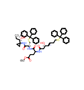 CC(C)(C)OC(=O)CCC(NC(=O)C[C@H](O)/C=C/CCSC(c1ccccc1)(c1ccccc1)c1ccccc1)C(=O)N[C@@H](CSC(c1ccccc1)(c1ccccc1)c1ccccc1)C(=O)NC1([C@@H](O)CC(=O)O)CC1